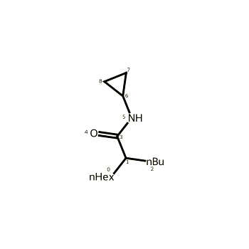 CCCCCCC(CCCC)C(=O)NC1CC1